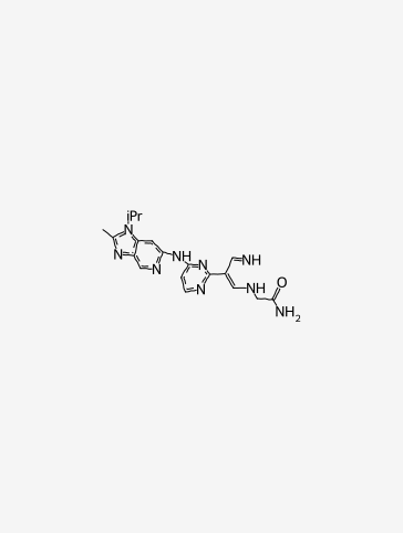 Cc1nc2cnc(Nc3ccnc(/C(C=N)=C/NCC(N)=O)n3)cc2n1C(C)C